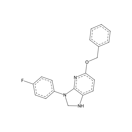 Fc1ccc(N2CNc3ccc(OCc4ccccc4)nc32)cc1